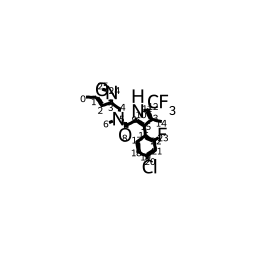 Cc1cc(CN(C)C(=O)c2[nH]c(C(F)(F)F)c(C)c2-c2ccc(Cl)cc2F)no1